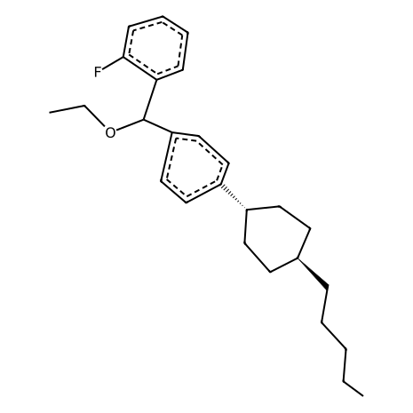 CCCCC[C@H]1CC[C@H](c2ccc(C(OCC)c3ccccc3F)cc2)CC1